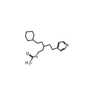 CC(=O)SCCC(C[CH]c1ccncc1)CCC1CCCCC1